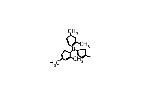 CC1=CC[C@@H](B(C2=CC=C(I)CC2)C2=C(C)CC(C)C=C2)C(C)=C1